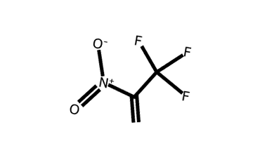 C=C([N+](=O)[O-])C(F)(F)F